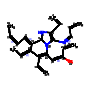 C=C/C=N\C1=C(C=C)NB2C(=C/C=C\C)/C(=C\C)C(C=C)=C(/C=C(/O)C=C)N21